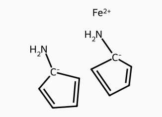 N[c-]1cccc1.N[c-]1cccc1.[Fe+2]